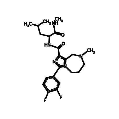 CNC(=O)C(CC(C)C)NC(=O)c1nc(-c2ccc(F)c(F)c2)n2c1CN(C)CCC2